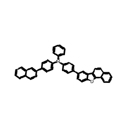 c1ccc(N(c2ccc(-c3ccc4ccccc4c3)cc2)c2ccc(-c3ccc4oc5c6ccccc6ccc5c4c3)cc2)cc1